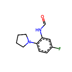 O=CNc1cc(F)ccc1N1CCCC1